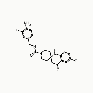 Nc1ccc(CNC(=O)N2CCC3(CC2)CC(=O)c2cc(F)ccc2N3)cc1F